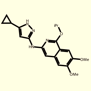 COc1cc2cc(Nc3cc(C4CC4)[nH]n3)nc(OC(C)C)c2cc1OC